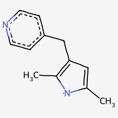 CC1=CC(Cc2ccncc2)=C(C)[N]1